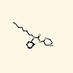 CCCCCCCCN(C(=O)OC1CNCCO1)c1ccccc1